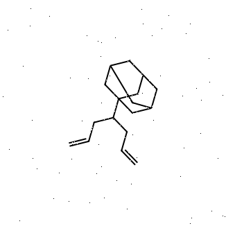 C=CC[C](CC=C)C12CC3CC(CC(C3)C1)C2